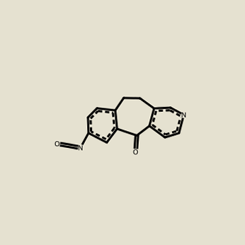 O=Nc1ccc2c(c1)C(=O)c1ccncc1CC2